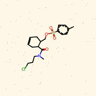 Cc1ccc(S(=O)(=O)OCC2CC=CCC2C(=O)N(C)CCCCl)cc1